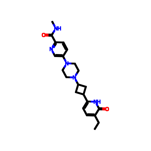 CCc1ccc(C2CC(N3CCN(c4ccc(C(=O)NC)nc4)CC3)C2)[nH]c1=O